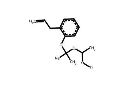 C=CCc1ccccc1O[C](C)([Na])OC(C)OCC